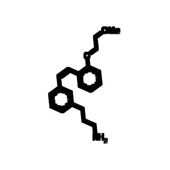 COCCOc1ccccc1/C=C\c1cccc(CCCN)c1